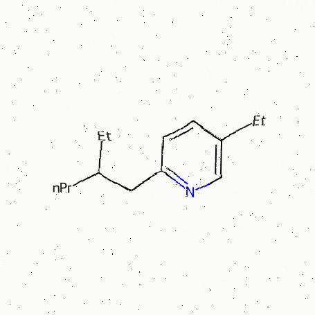 CCCC(CC)Cc1ccc(CC)cn1